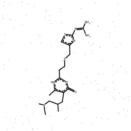 Cc1[nH]c(CCSCc2csc(N=C(N)N)n2)nc(=O)c1CC(C)CN(C)C